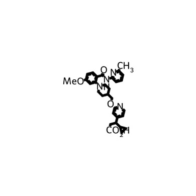 COc1ccc(C(=O)Nc2cccc(C)n2)c(N2CCC(COc3cc(C(CC(=O)O)C4CC4)ccn3)CC2)c1